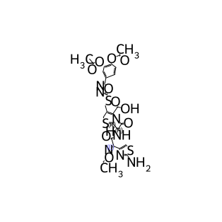 CCO/N=C(/C(=O)N[C@@H]1C(=O)N2C(C(=O)O)=C(CSc3nnc(-c4ccc(OC(C)=O)c(OC(C)=O)c4)o3)CS[C@H]12)c1csc(N)n1